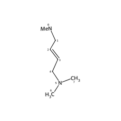 CNCC=CCN(C)C